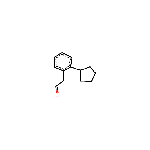 O=CCc1ccccc1C1CCCC1